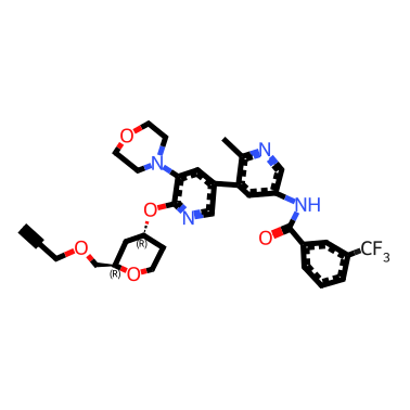 C#CCOC[C@H]1C[C@H](Oc2ncc(-c3cc(NC(=O)c4cccc(C(F)(F)F)c4)cnc3C)cc2N2CCOCC2)CCO1